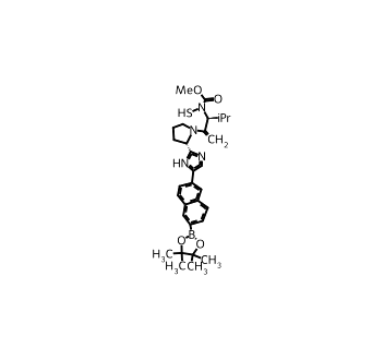 C=C([C@H](C(C)C)N(S)C(=O)OC)N1CCC[C@H]1c1ncc(-c2ccc3cc(B4OC(C)(C)C(C)(C)O4)ccc3c2)[nH]1